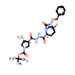 C[C@H]1CN(C(=O)OC(C)(C)C)C[C@@H]1C(=O)NNC(=O)[C@@H]1CC[C@@H]2CN1C(=O)N2OCc1ccccc1